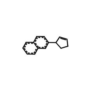 C1=CC(c2ccc3ccccc3c2)CC1